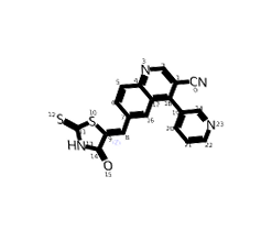 N#Cc1cnc2ccc(/C=C3\SC(=S)NC3=O)cc2c1-c1cccnc1